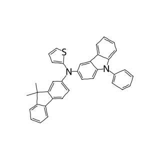 CC1(C)c2ccccc2-c2ccc(N(c3ccc4c(c3)c3ccccc3n4-c3ccccc3)c3cccs3)cc21